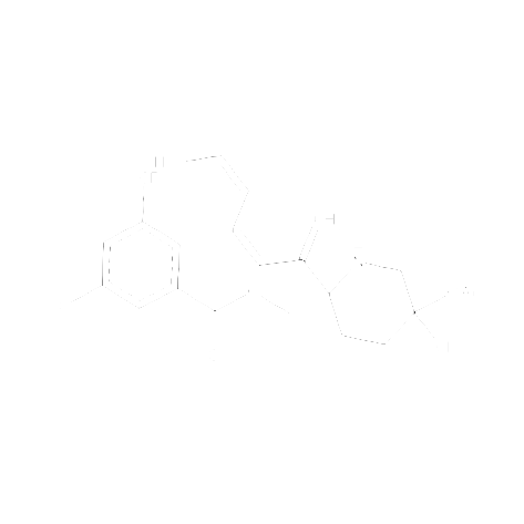 C=C(/C=C\C=C/C)[C@]1(CO[C@H](C)c2cc(C(F)(F)F)cc(C(F)(F)F)c2)CCC(C)(OC(C)=O)CN1